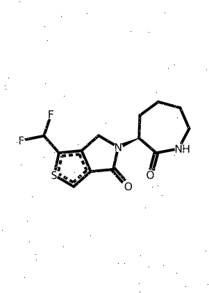 O=C1NCCCC[C@@H]1N1Cc2c(csc2C(F)F)C1=O